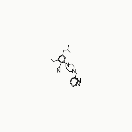 CCc1cc(CC(C)C)cc(N2CCN(Cc3cccnn3)CC2)c1C#N